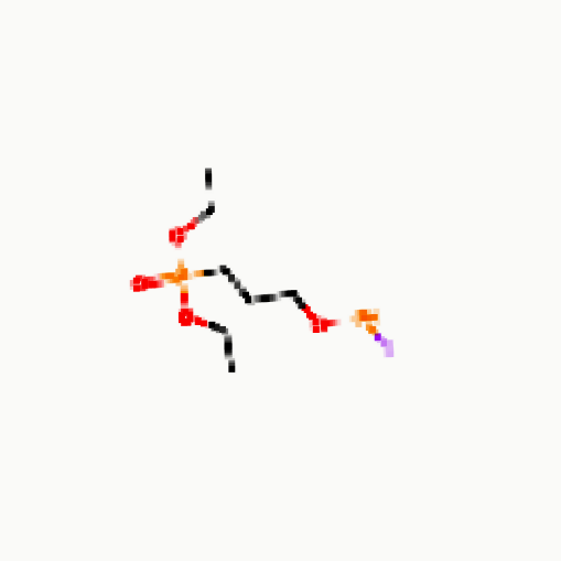 CCOP(=O)(CCCOPI)OCC